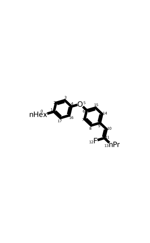 CCCCCCc1ccc(Oc2ccc(C=C(F)CCC)cc2)cc1